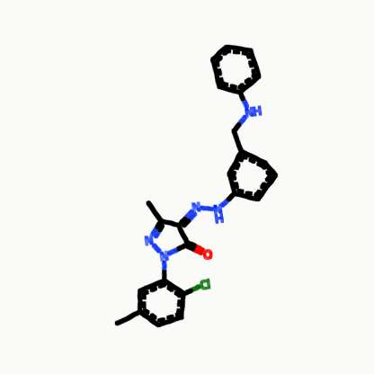 CC1=NN(c2cc(C)ccc2Cl)C(=O)/C1=N\Nc1cccc(CNc2ccccc2)c1